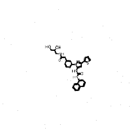 O=C(Cc1cccc(-n2nc(-c3cccs3)cc2NC(=O)Nc2cccc3ccccc23)c1)NCC(O)CO